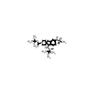 CC(C)(C)OC(=O)N1CCC2(CC1)Cc1cc(NS(C)(=O)=O)ccc1[C@H]2N[S@+]([O-])C(C)(C)C